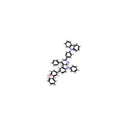 C1=Cc2c(n(-c3ccc(-c4nc(-c5ccccc5)c5c6cc(-c7ccc8oc9ccccc9c8c7)ccc6n(-c6ccccc6)c5n4)cc3)c3ccccc23)CC1